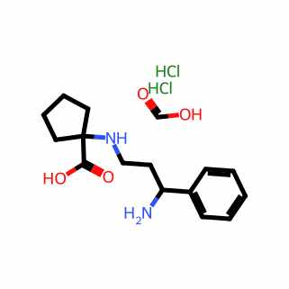 Cl.Cl.NC(CCNC1(C(=O)O)CCCC1)c1ccccc1.O=CO